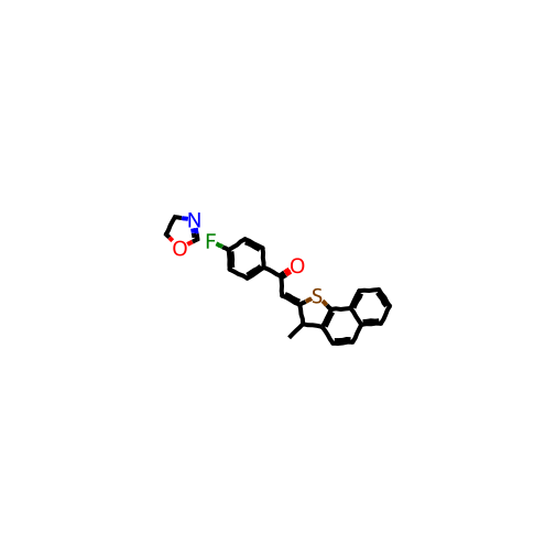 C1=NCCO1.CC1C(=CC(=O)c2ccc(F)cc2)Sc2c1ccc1ccccc21